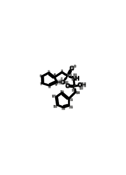 O=P(O)(Cc1ccccc1)NP(=O)(O)Cc1ccccc1